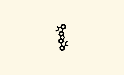 CCC(C)c1ccccc1-c1[c]c2c(cc1)-c1ccc(-c3ccccc3C(C)CC)cc1C2